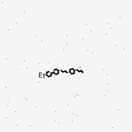 C=CCC[C@H]1CC[C@H](C=CCC[C@H]2CC[C@H]([C@H]3CC[C@H](CC)CC3)CC2)CC1